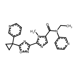 CCN(C(=O)c1cnc(-c2noc(C3(c4cccnc4)CC3)n2)n1C)c1cccnc1